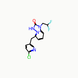 O=c1[nH][n+]2c(Cc3ccc(Cl)nc3)cccc2n1CC(F)F